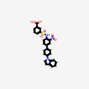 O=C(O)c1cccc(S(=O)(=O)Nc2ccc(-c3ccc(-n4ccc5ccccc54)cc3)cc2[N+](=O)[O-])c1